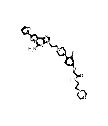 Nc1nc2c(ncn2CCN2CCN(c3ccc(OCC(=O)NCCN4CCOCC4)cc3F)CC2)c2cc(-c3ccco3)nn12